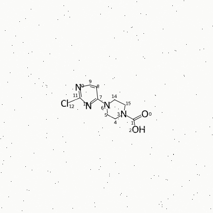 O=C(O)N1CCN(c2ccnc(Cl)n2)CC1